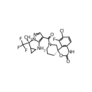 C[C@](C1CC1)(n1ncc(C(=O)N2CCC[C@@]3(C2)OC(=O)Nc2ccc(Cl)c(F)c23)c1N)C(F)(F)F